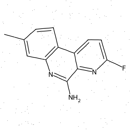 Cc1ccc2c(c1)nc(N)c1nc(F)ccc12